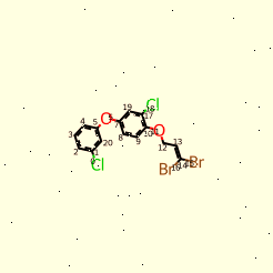 Clc1cccc(Oc2ccc(OCC=C(Br)Br)c(Cl)c2)c1